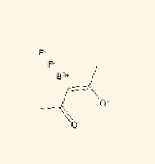 CC(=O)/C=C(/C)[O-].[B+3].[F-].[F-]